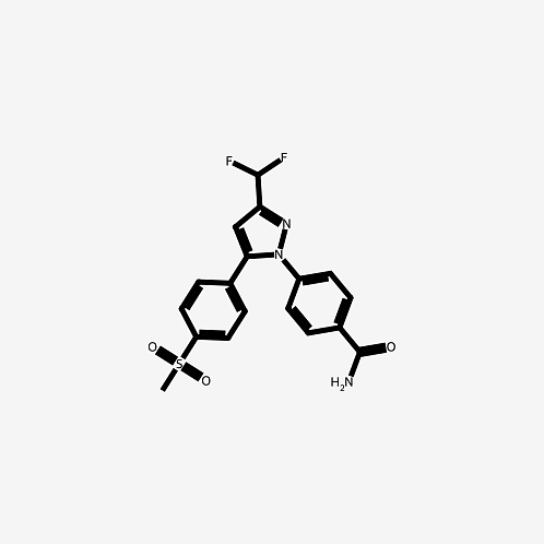 CS(=O)(=O)c1ccc(-c2cc(C(F)F)nn2-c2ccc(C(N)=O)cc2)cc1